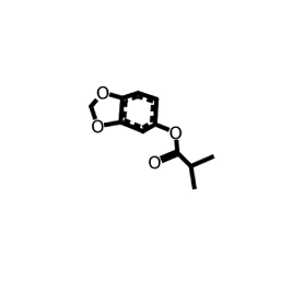 CC(C)C(=O)Oc1ccc2c(c1)OCO2